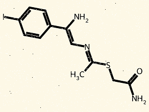 C/C(=N\C=C(/N)c1ccc(I)cc1)SCC(N)=O